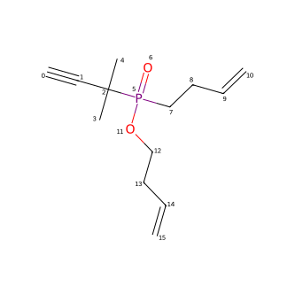 C#CC(C)(C)P(=O)(CCC=C)OCCC=C